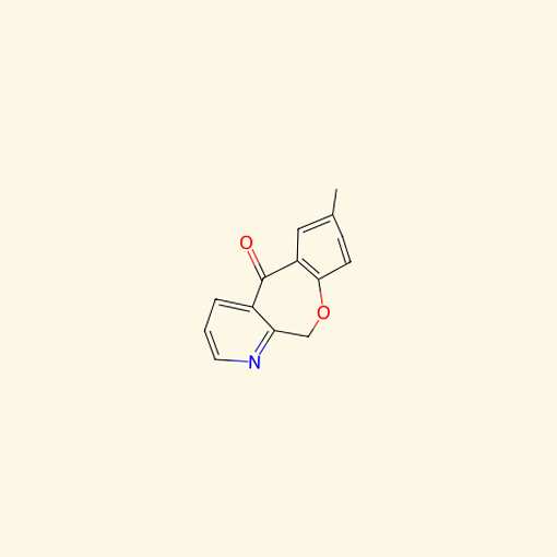 Cc1ccc2c(c1)C(=O)c1cccnc1CO2